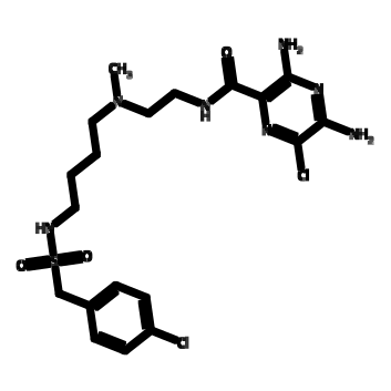 CN(CCCCNS(=O)(=O)Cc1ccc(Cl)cc1)CCNC(=O)c1nc(Cl)c(N)nc1N